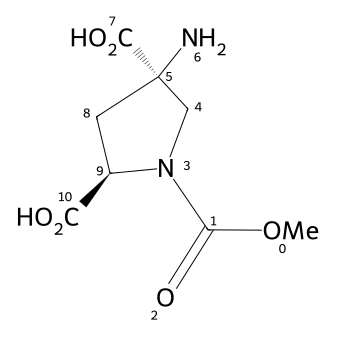 COC(=O)N1C[C@@](N)(C(=O)O)C[C@@H]1C(=O)O